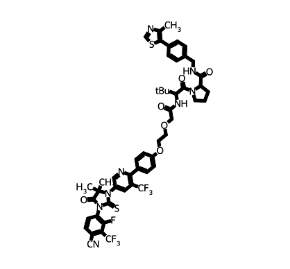 Cc1ncsc1-c1ccc(CNC(=O)C2CCCN2C(=O)C(NC(=O)COCCOc2ccc(-c3ncc(N4C(=S)N(c5ccc(C#N)c(C(F)(F)F)c5F)C(=O)C4(C)C)cc3C(F)(F)F)cc2)C(C)(C)C)cc1